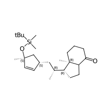 C[C@H](C[C@@H]1C=C[C@@](C)(O[Si](C)(C)C(C)(C)C)C1)[C@H]1CCC2C(=O)CCC[C@@]21C